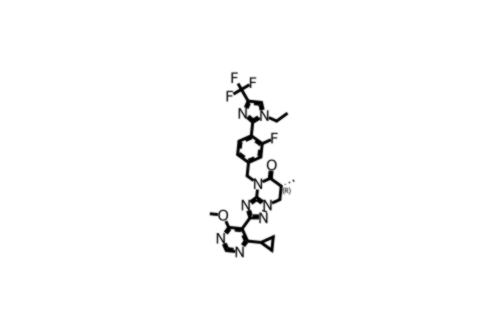 CCn1cc(C(F)(F)F)nc1-c1ccc(CN2C(=O)[C@H](C)Cn3nc(-c4c(OC)ncnc4C4CC4)nc32)cc1F